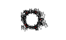 CC(C)C[C@@H]1NC(=O)[C@H](Cc2ccccc2)N(C)C(=O)[C@H](COC(C)(C)C)NC(=O)[C@H](Cc2ccccc2)N(C)C(=O)[C@H](C)N(C)C(=O)[C@H](CC(C)C)N(C)C(=O)[C@@H]2CCCN2C(=O)N[C@@H](C(=O)N2CCCCC2)NC(=O)[C@H](Cc2ccccc2)N(C)C(=O)[C@H]([C@@H](C)O)NC(=O)[C@H](CC(C)C)N(C)C1=O